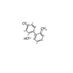 Cc1ccccc1-c1ccc(Cl)cc1.Cl